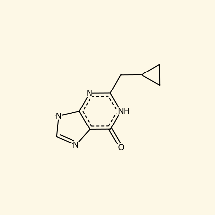 O=c1[nH]c(CC2CC2)nc2c1N=C[N]2